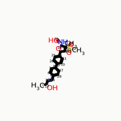 CC(O)/C=C/c1ccc(-c2ccc(CC[C@](C)(C(=O)NO)S(C)(=O)=O)cc2)cc1